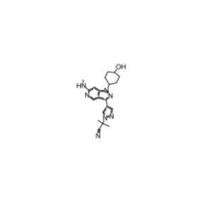 CNc1cc2c(cn1)c(-c1cnn(C(C)(C)C#N)c1)nn2C1CCC(O)CC1